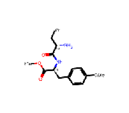 COc1ccc(C[C@H](NC(=O)[C@@H](N)CC(C)C)C(=O)OC(C)(C)C)cc1